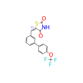 O=C1NC(=O)/C(=C\c2cccc(-c3ccc(OC(F)(F)F)cc3)c2)S1